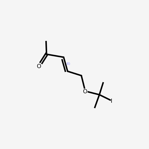 CC(=O)/C=C/COC(C)(C)I